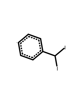 IC(I)c1cc[c]cc1